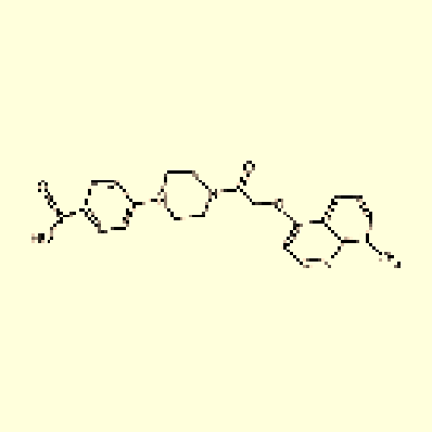 O=C(COc1ccnc2c(C(F)(F)F)cccc12)N1CCN(c2ccc(S(=O)O)cc2)CC1